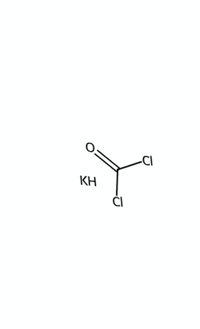 O=C(Cl)Cl.[KH]